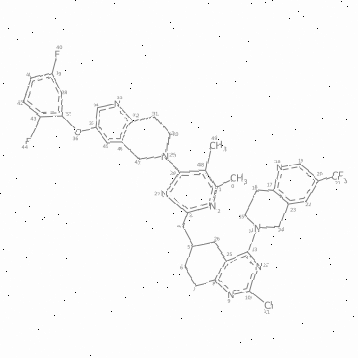 Cc1nc(CC2CCc3nc(Cl)nc(N4CCc5ncc(C(F)(F)F)cc5C4)c3C2)nc(N2CCc3ncc(Oc4cc(F)ccc4F)cc3C2)c1C